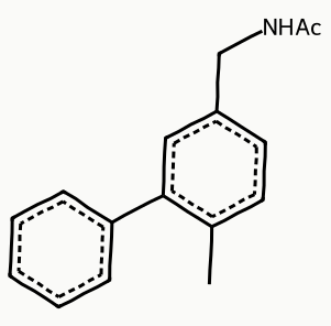 CC(=O)NCc1ccc(C)c(-c2ccccc2)c1